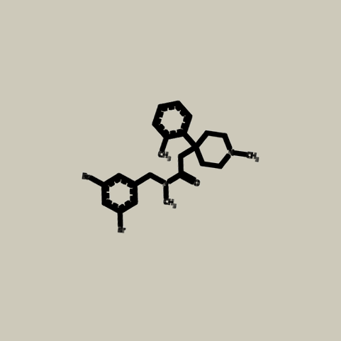 Cc1ccccc1C1(CC(=O)N(C)Cc2cc(Br)cc(Br)c2)CCN(C)CC1